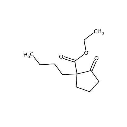 CCCCC1(C(=O)OCC)CCCC1=O